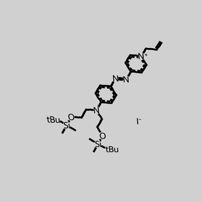 C=CC[n+]1ccc(N=Nc2ccc(N(CCO[Si](C)(C)C(C)(C)C)CCO[Si](C)(C)C(C)(C)C)cc2)cc1.[I-]